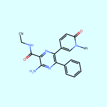 CC(C)n1cc(-c2nc(C(=O)NCC#N)c(N)nc2-c2ccccc2)ccc1=O